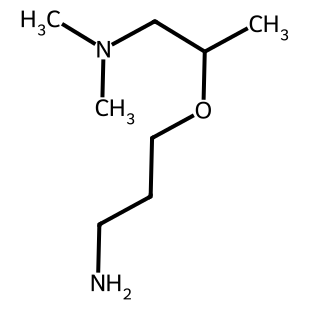 CC(CN(C)C)OCCCN